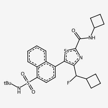 CC(C)(C)NS(=O)(=O)c1ccc(-c2sc(C(=O)NC3CCC3)nc2C(F)C2CCC2)c2ccccc12